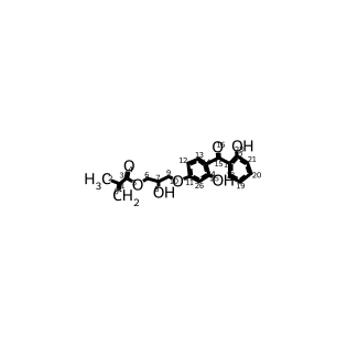 C=C(C)C(=O)OCC(O)COc1ccc(C(=O)c2ccccc2O)c(O)c1